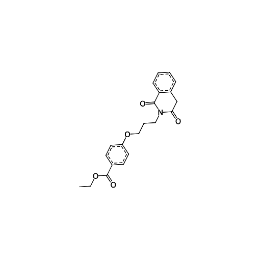 CCOC(=O)c1ccc(OCCCN2C(=O)Cc3ccccc3C2=O)cc1